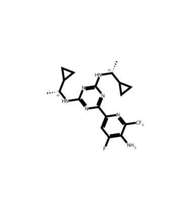 C[C@@H](Nc1nc(N[C@H](C)C2CC2)nc(-c2cc(F)c(N)c(C(F)(F)F)n2)n1)C1CC1